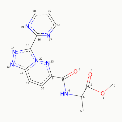 COC(=O)C(C)NC(=O)c1ccc2nnc(-c3ncccn3)n2n1